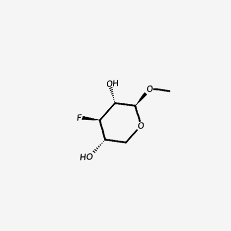 CO[C@H]1OC[C@H](O)[C@@H](F)[C@@H]1O